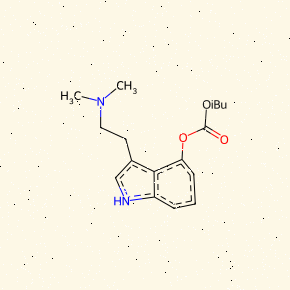 CC(C)COC(=O)Oc1cccc2[nH]cc(CCN(C)C)c12